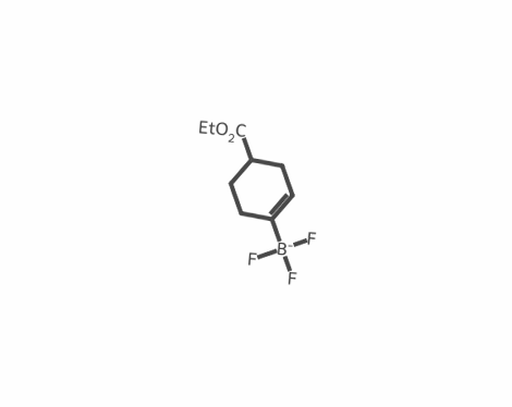 CCOC(=O)C1CC=C([B-](F)(F)F)CC1